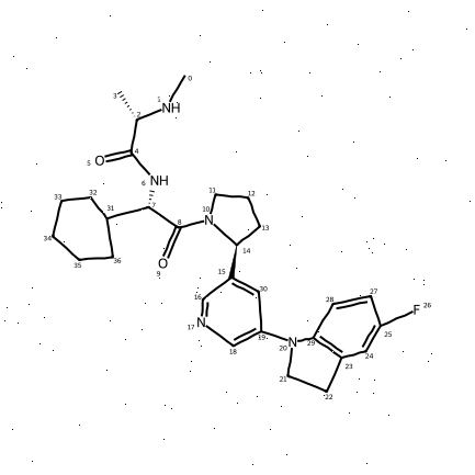 CN[C@@H](C)C(=O)N[C@H](C(=O)N1CCC[C@H]1c1cncc(N2CCc3cc(F)ccc32)c1)C1CCCCC1